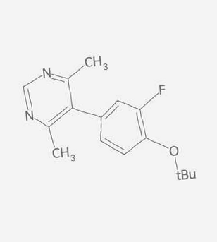 Cc1ncnc(C)c1-c1ccc(OC(C)(C)C)c(F)c1